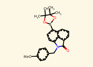 COc1ccc(CN2C(=O)c3cccc4c(B5OC(C)(C)C(C)(C)O5)ccc2c34)cc1